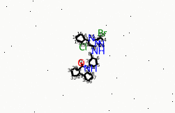 O=C(Nc1cccc(CNc2cc(-c3ccccc3Cl)nc3c(Br)cnn23)c1)c1ccccc1-c1ccccc1